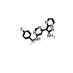 C[C@@H](Nc1cc(-c2c(N)nn3cccnc23)ncn1)c1ccc(F)cc1